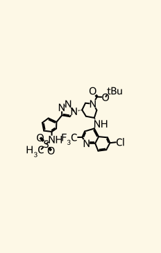 CC(C)(C)OC(=O)N1C[C@H](Nc2cc(C(F)(F)F)nc3ccc(Cl)cc23)C[C@H](n2cc(-c3cccc(NS(C)(=O)=O)c3)nn2)C1